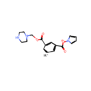 O=C(OCN1CCNCC1)c1cccc(C(=O)On2cccc2)c1.[H+]